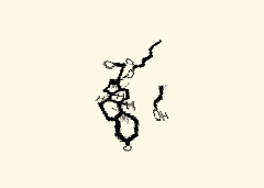 CCCCCC(=O)O[C@]1(C(C)=O)CC[C@H]2[C@@H]3CCC4=CC(=O)CC[C@]4(C)[C@H]3CC[C@@]21C.[CH2]CCO